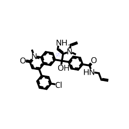 C=CCNC(=O)c1ccc(C(O)(/C(=C/N)N(C)C=C)c2ccc3c(c2)c(-c2cccc(Cl)c2)cc(=O)n3C)cc1